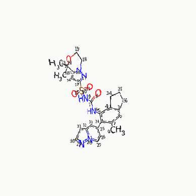 Cc1cc2c(c(NC(=O)NS(=O)(=O)c3cc4n(n3)CCOC4(C)C)c1-c1ccn3nccc3c1)CCC2